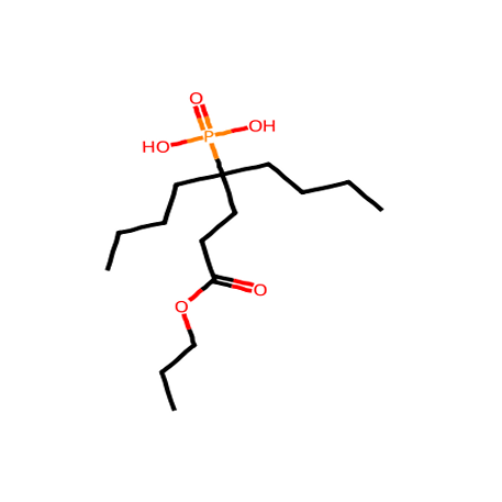 CCCCC(CCCC)(CCC(=O)OCCC)P(=O)(O)O